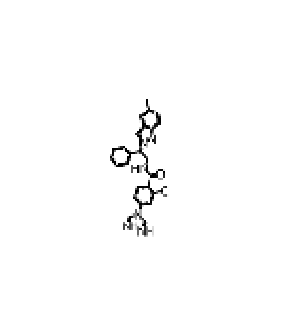 Cc1ccc2nn(C(CNC(=O)c3ccc(N(C=N)C=N)cc3Cl)c3ccccc3)cc2c1